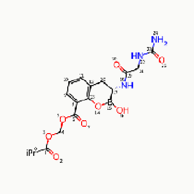 CC(C)C(=O)OCOC(=O)c1cccc2c1OB(O)[C@@H](NC(=O)CNC(N)=O)C2